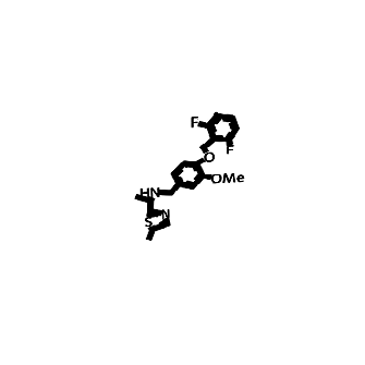 COc1cc(CNC(C)c2ncc(C)s2)ccc1OCc1c(F)cccc1F